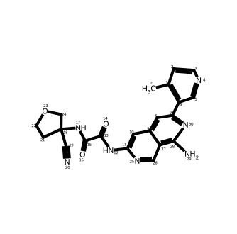 Cc1ccncc1-c1cc2cc(NC(=O)C(=O)NC3(C#N)CCOC3)ncc2c(N)n1